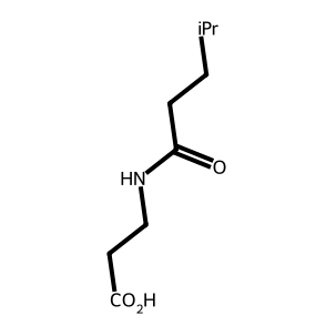 CC(C)CCC(=O)NCCC(=O)O